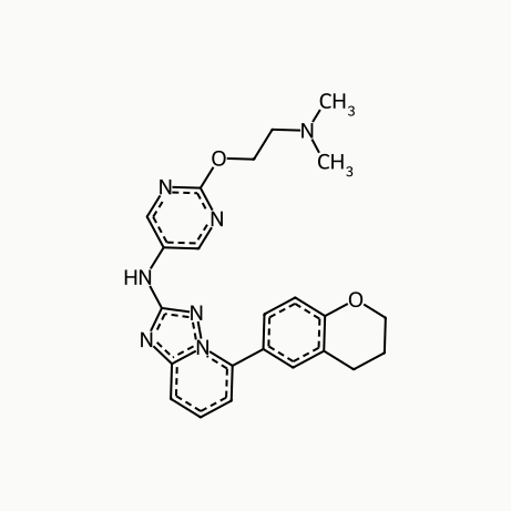 CN(C)CCOc1ncc(Nc2nc3cccc(-c4ccc5c(c4)CCCO5)n3n2)cn1